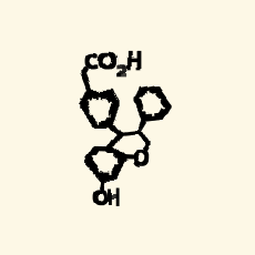 O=C(O)Cc1ccc(C2c3ccc(O)cc3OC[C@@H]2c2ccccc2)cc1